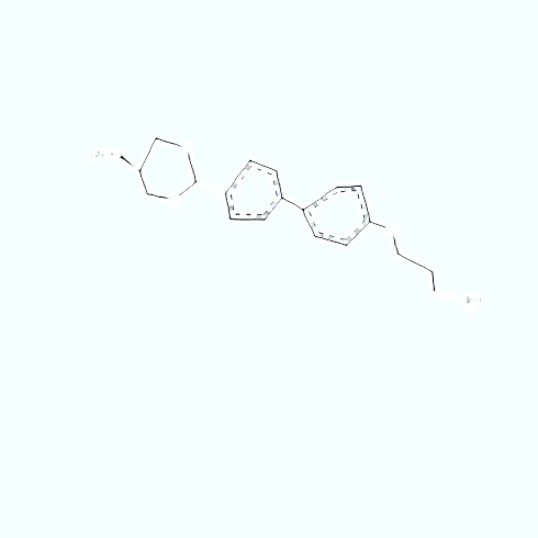 CCCCCCCCC[C@H]1CO[C@H](c2ccc(-c3ccc(OCCC[C@@H](C)CC)cc3)cc2)OC1